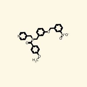 COc1ccc(C(=O)N(Cc2ccncc2)Cc2cccc(OCc3cccc([N+](=O)[O-])c3)c2)cc1